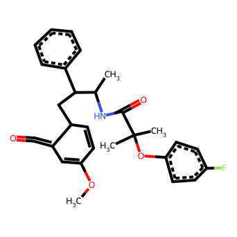 COC1=CC(=C=O)C(CC(c2ccccc2)C(C)NC(=O)C(C)(C)Oc2ccc(F)cc2)C=C1